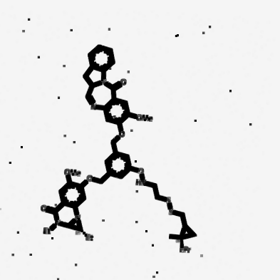 CCC[C@]1(C)CC1CSSCCNOc1cc(COc2cc3c(cc2OC)C(=O)N2c4ccccc4CC2C=N3)cc(COc2cc3c(cc2OC)C(=O)N(CC)C2[C@@H](CC)N32)c1